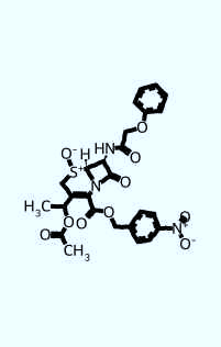 CC(=O)OC(C)C1=C(C(=O)OCc2ccc([N+](=O)[O-])cc2)N2C(=O)[C@@H](NC(=O)COc3ccccc3)[C@@H]2[S+]([O-])C1